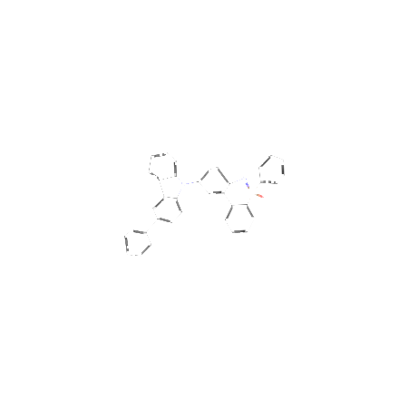 O=S1(c2ccccc2)=Nc2ccc(-n3c4ccccc4c4cc(-c5ccccc5)ccc43)cc2-c2ccccc21